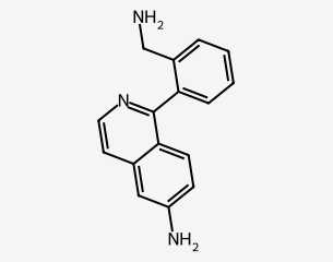 NCc1ccccc1-c1nccc2cc(N)ccc12